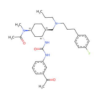 CCCN(CCCc1ccc(F)cc1)C[C@@H]1CC[C@H](N(C)C(C)=O)C[C@H]1NC(=O)Nc1cccc(C(C)=O)c1